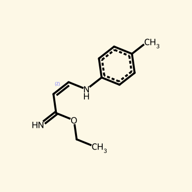 CCOC(=N)/C=C\Nc1ccc(C)cc1